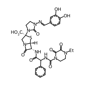 CCN1CCN(C(=O)NC(C(=O)N[C@@H]2C(=O)N3C[C@@](C(=O)O)(N4CCN(N=Cc5ccc(O)c(O)c5)C4=O)S[C@H]23)c2ccccc2)C(=O)C1=O